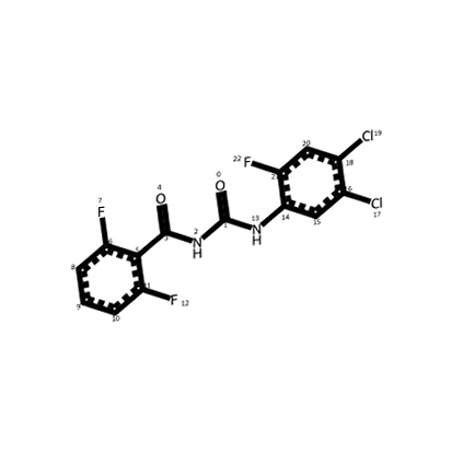 O=C(NC(=O)c1c(F)cccc1F)Nc1cc(Cl)c(Cl)cc1F